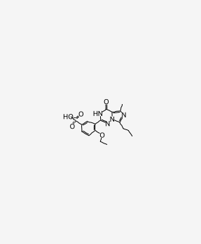 CCCc1nc(C)c2c(=O)[nH]c(-c3cc(S(=O)(=O)O)ccc3OCC)nn12